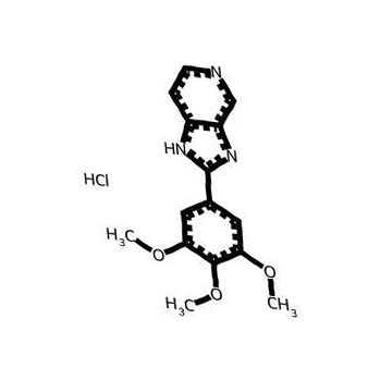 COc1cc(-c2nc3cnccc3[nH]2)cc(OC)c1OC.Cl